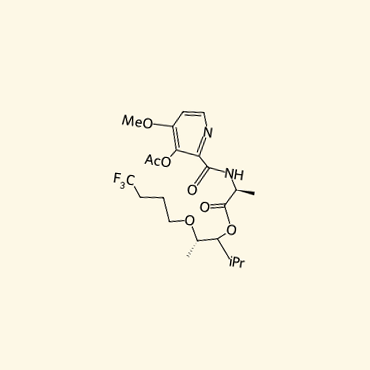 COc1ccnc(C(=O)N[C@@H](C)C(=O)OC(C(C)C)[C@H](C)OCCCC(F)(F)F)c1OC(C)=O